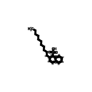 CCCCCCCCCCCc1ccc2ccccc2c1S(=O)(=O)O